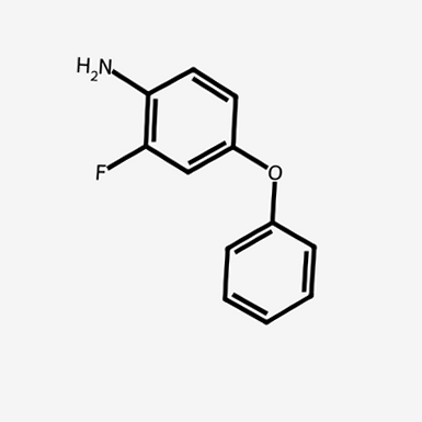 Nc1ccc(Oc2ccccc2)cc1F